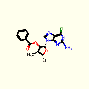 CC[C@H]1O[C@@H](n2cnc3c(Cl)nc(N)nc32)C(OC(=O)c2ccccc2)[C@@H]1C